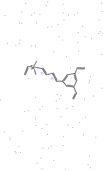 C=Cc1cc(C=C)cc(/C=C/C=C/[Si](C)(C)C=C)c1